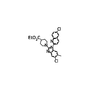 CCOC(=O)C1CCN(c2nc3cc(Cl)c(C)cc3n2-c2ccc3cc(Cl)ccc3n2)CC1